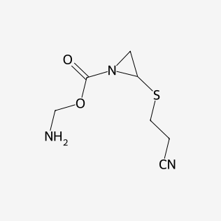 N#CCCSC1CN1C(=O)OCN